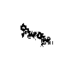 CCOc1ccccc1CCNC(=O)C(C)Oc1ccc(C[C@@H](OCC)C(=O)O)cc1